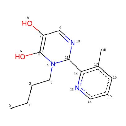 CCCCN1C(O)=C(O)C=NC1c1ncccc1C